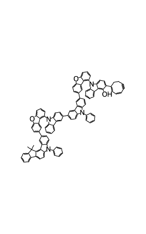 CC1(C)c2ccccc2-c2ccc3c(c21)c1cc(-c2ccc4oc5cccc(-n6c7ccccc7c7cc(-c8ccc9c(c8)c8cc(-c%10ccc%11oc%12cccc(-n%13c%14ccccc%14c%14c(O)c(/C%15=C/C=C\C#CCC%15)ccc%14%13)c%12c%11c%10)ccc8n9-c8ccccc8)ccc76)c5c4c2)ccc1n3-c1ccccc1